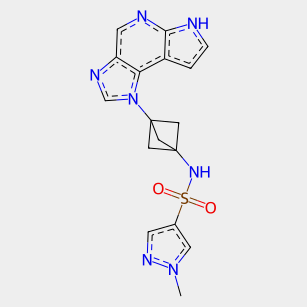 Cn1cc(S(=O)(=O)NC23CC(n4cnc5cnc6[nH]ccc6c54)(C2)C3)cn1